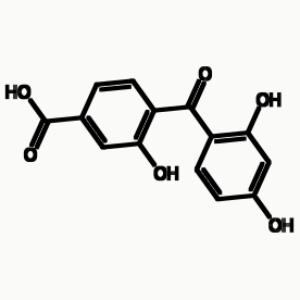 O=C(O)c1ccc(C(=O)c2ccc(O)cc2O)c(O)c1